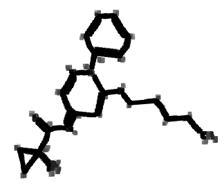 CCCCCOc1cc(=NC(=O)C2(C)CC2)cnn1-c1ccccc1